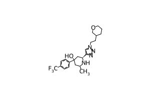 C[C@H]1CC(O)(c2ccc(C(F)(F)F)cc2)C[C@@H](c2cn(CCC3CCCOC3)nn2)N1